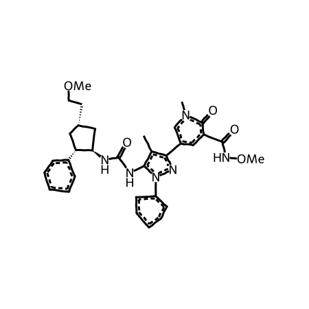 COCC[C@@H]1C[C@@H](NC(=O)Nc2c(C)c(-c3cc(C(=O)NOC)c(=O)n(C)c3)nn2-c2ccccc2)[C@H](c2ccccc2)C1